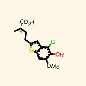 COc1cc2sc(CC[C@H](C)C(=O)O)cc2c(Cl)c1O